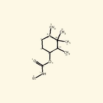 CCNC(=O)OC1CCN(C)C(C)(C)C1C